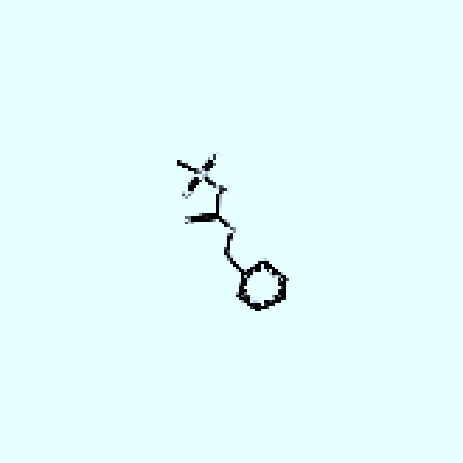 CS(=O)(=O)NC(=O)NCc1ccccc1